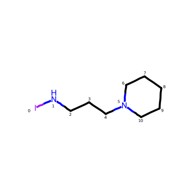 INCCCN1CCCCC1